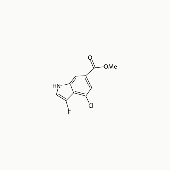 COC(=O)c1cc(Cl)c2c(F)c[nH]c2c1